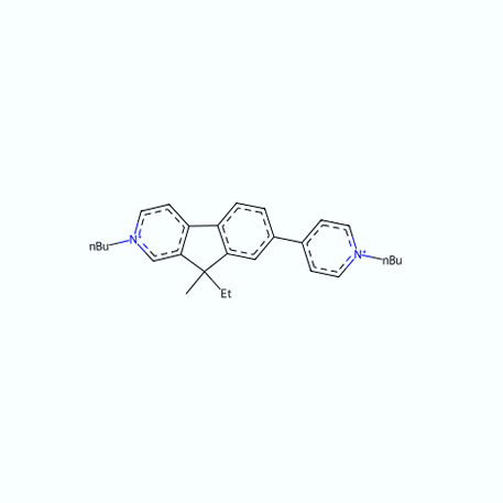 CCCC[n+]1ccc(-c2ccc3c(c2)C(C)(CC)c2c[n+](CCCC)ccc2-3)cc1